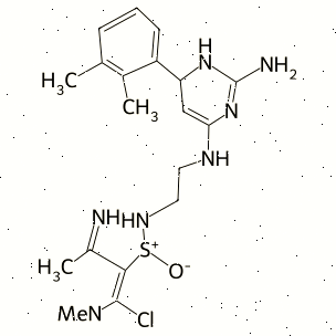 CN/C(Cl)=C(\C(C)=N)[S+]([O-])NCCNC1=CC(c2cccc(C)c2C)NC(N)=N1